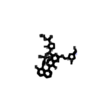 CC(C)[Si](C#Cc1c(F)ccc2cccc(-c3ncc4c(N(C)[C@@H]5CCN(C(=O)OC(C)(C)C)[C@@H]5C)nc(OC[C@H]5C/C(=C\F)CN5C)nc4c3F)c12)(C(C)C)C(C)C